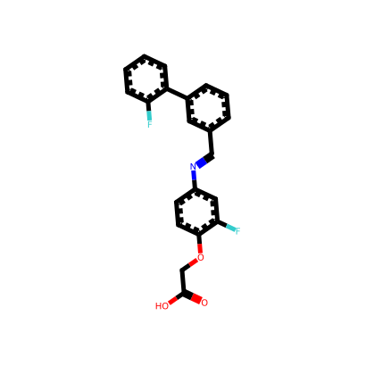 O=C(O)COc1ccc(N=Cc2cccc(-c3ccccc3F)c2)cc1F